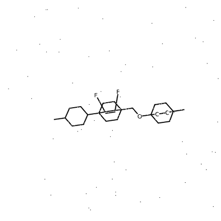 CC1CCC(C23CCC(COC45CCC(C)(CC4)CC5)(CC2)C(F)=C3F)CC1